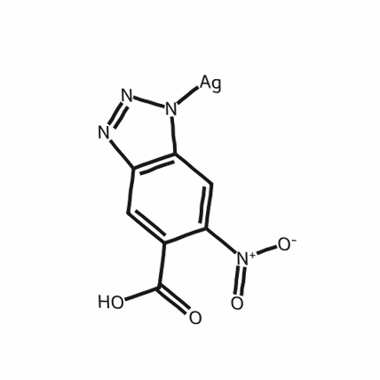 O=C(O)c1cc2nn[n]([Ag])c2cc1[N+](=O)[O-]